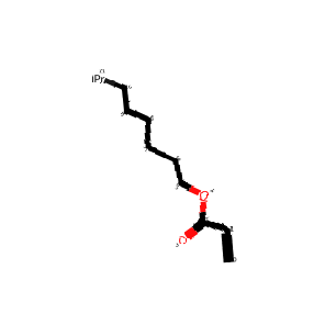 C=CC(=O)OCCCCCCC(C)C